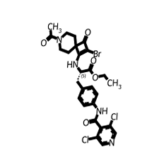 CCOC(=O)[C@H](Cc1ccc(NC(=O)c2c(Cl)cncc2Cl)cc1)NC1=C(Br)C(=O)C12CCN(C(C)=O)CC2